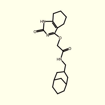 O=C(COc1nc(=O)[nH]c2c1CCCC2)NCC1CC2CCCC(C2)C1